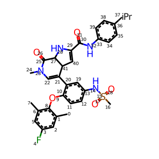 Cc1cc(F)cc(C)c1Oc1ccc(NS(C)(=O)=O)cc1C1=CN(C)C(=O)C2NC(C(=O)Nc3ccc(C(C)C)cc3)=CC12